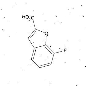 O=C(O)c1cc2cccc(F)c2o1